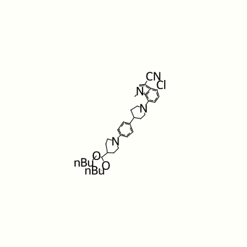 CCCCOC(OCCCC)C1CCN(c2ccc(C3CCN(c4ccc(Cl)c5c(C#N)cn(C)c45)CC3)cc2)CC1